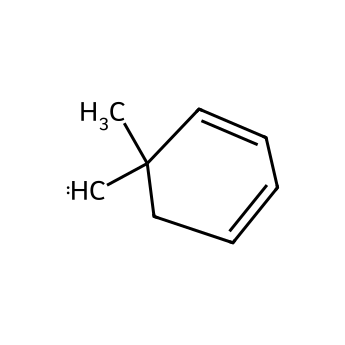 [CH]C1(C)C=CC=CC1